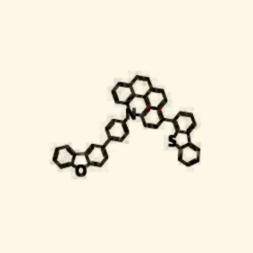 c1ccc2c(c1)ccc1cccc(N(c3ccc(-c4ccc5oc6ccccc6c5c4)cc3)c3ccc(-c4cccc5c4sc4ccccc45)cc3)c12